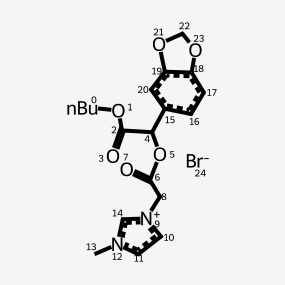 CCCCOC(=O)C(OC(=O)C[n+]1ccn(C)c1)c1ccc2c(c1)OCO2.[Br-]